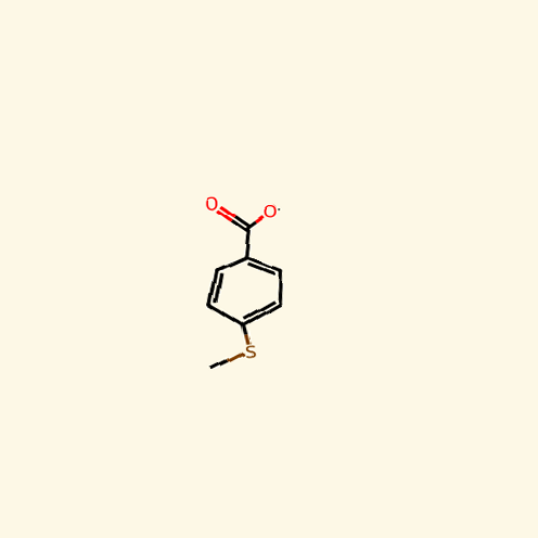 CSc1ccc(C([O])=O)cc1